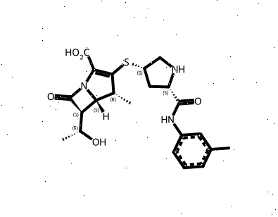 Cc1cccc(NC(=O)[C@@H]2C[C@H](SC3=C(C(=O)O)N4C(=O)[C@H]([C@@H](C)O)[C@H]4[C@H]3C)CN2)c1